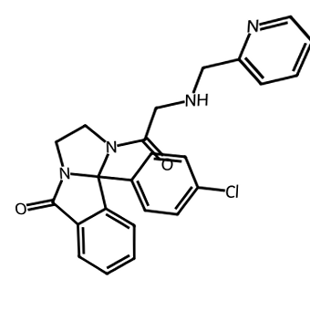 O=C(CNCc1ccccn1)N1CCN2C(=O)c3ccccc3C12c1ccc(Cl)cc1